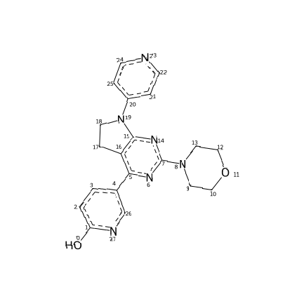 Oc1ccc(-c2nc(N3CCOCC3)nc3c2CCN3c2ccncc2)cn1